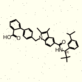 Cc1c(C)n(Cc2ccc(-c3ccccc3C(=O)O)cc2)c2ccc(C(=O)N[C@@H](c3cccc(C(C)C)c3)C(C)(C)C)cc12